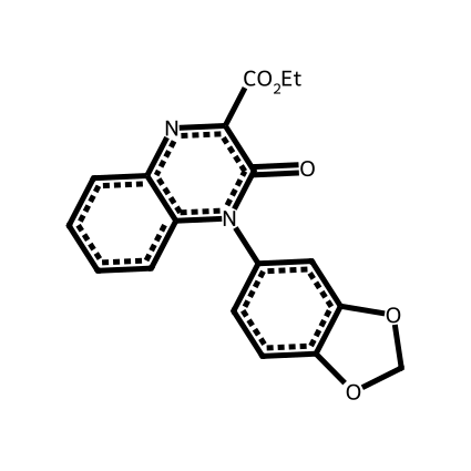 CCOC(=O)c1nc2ccccc2n(-c2ccc3c(c2)OCO3)c1=O